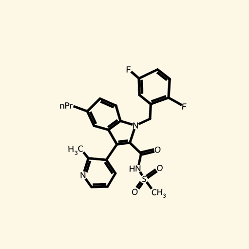 CCCc1ccc2c(c1)c(-c1cccnc1C)c(C(=O)NS(C)(=O)=O)n2Cc1cc(F)ccc1F